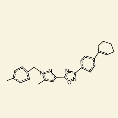 Cc1ccc(Cn2nc(-c3nc(-c4ccc(C5=CCCCC5)cc4)no3)cc2C)cc1